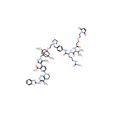 Cc1c(Nc2nc3ccccc3s2)nnc2c1CCCN2c1ccc(-c2cnn(CC34CC5(OCC[N+]6(Cc7ccc(NC(=O)[C@H](CCCNC(N)=O)NC(=O)[C@@H](NC(=O)CCOCCN8C(=O)C=CC8=O)C(C)C)cc7)CCCC6)C[C@](C)(C3)C[C@](C)(C4)C5)c2C)c(C(=O)O)n1